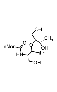 CCCCCCCCCC(=O)N[C@@H](CO)C(OC(CO)[C@H](C)O)C(C)C